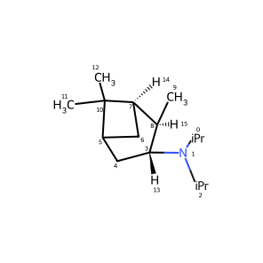 CC(C)N(C(C)C)[C@@H]1CC2C[C@H]([C@H]1C)C2(C)C